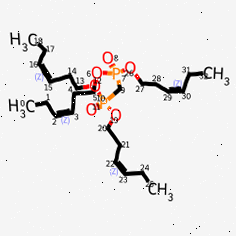 CC/C=C\CCOP(=O)(CP(=O)(OCC/C=C\CC)OCC/C=C\CC)OCC/C=C\CC